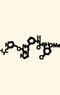 COc1ccc(Cl)cc1NC(=O)Nc1cccc(-c2cn3ccnc3c(OCc3ccnc(C)c3)n2)c1